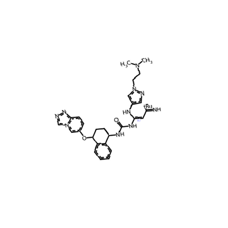 CN(C)CCn1cc(N/C(=C\C(=N)C(C)(C)C)NC(=O)NC2CCC(Oc3ccc4nncn4c3)c3ccccc32)cn1